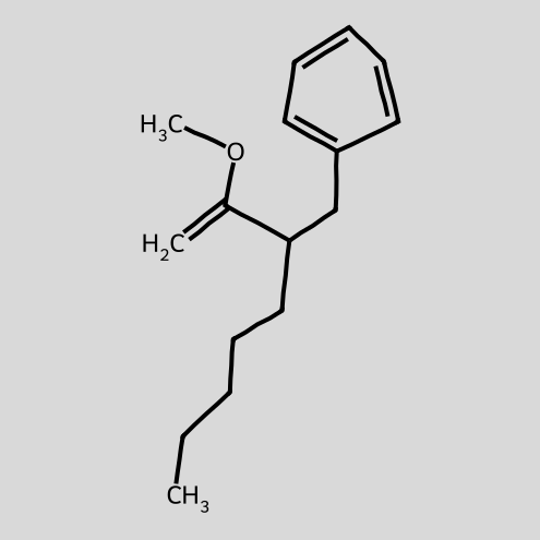 C=C(OC)C(CCCCC)Cc1ccccc1